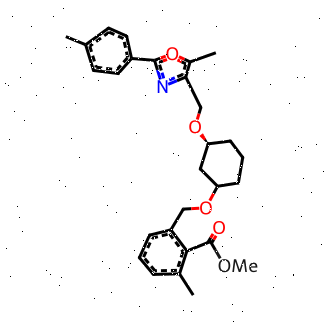 COC(=O)c1c(C)cccc1COC1CCC[C@H](OCc2nc(-c3ccc(C)cc3)oc2C)C1